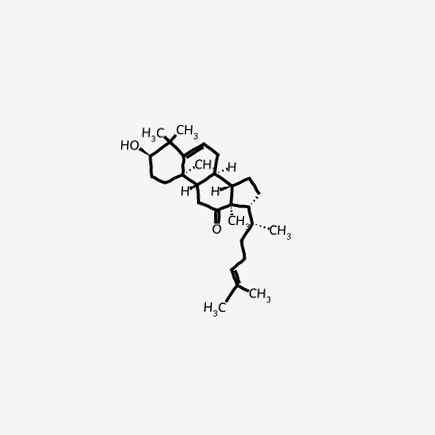 CC(C)=CCC[C@@H](C)[C@H]1CC[C@H]2[C@@H]3CC=C4C(C)(C)[C@H](O)CC[C@]4(C)[C@H]3CC(=O)[C@]12C